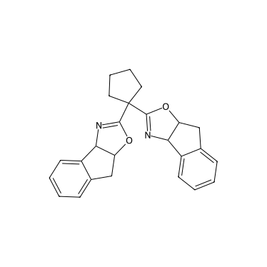 c1ccc2c(c1)CC1OC(C3(C4=NC5c6ccccc6CC5O4)CCCC3)=NC21